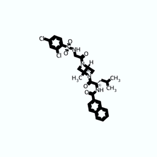 CC(C)C[C@H](NC(=O)c1ccc2ccccc2c1)C(=O)N1C[C@H]2N(C(=O)CNS(=O)(=O)c3ccc(Cl)cc3Cl)CC21C